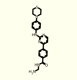 NCNC(=O)c1ccc(-c2ccnc(Nc3ccc(N4CCSCC4)cc3)n2)cc1